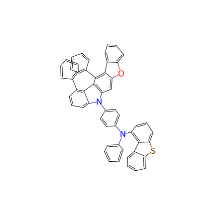 c1ccc(-c2cccc3c2c2c(-c4ccccc4)c4c(cc2n3-c2ccc(N(c3ccccc3)c3cccc5sc6ccccc6c35)cc2)oc2ccccc24)cc1